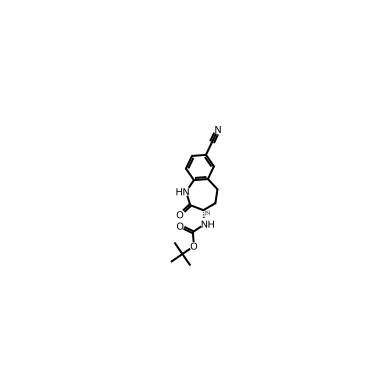 CC(C)(C)OC(=O)N[C@H]1CCc2cc(C#N)ccc2NC1=O